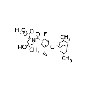 COC(=O)[C@@H]1CC(C)(O)CN1C(=O)c1cc(C2CC2)c(OCC23CC(C)CC(CC(C)C2)C3)cc1F